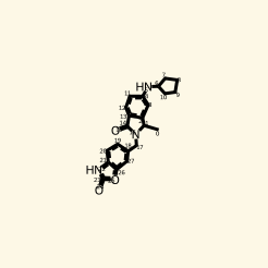 CC1c2cc(NC3CCCC3)ccc2C(=O)N1Cc1ccc2[nH]c(=O)oc2c1